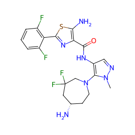 Cn1ncc(NC(=O)c2nc(-c3c(F)cccc3F)sc2N)c1N1CC[C@H](N)CC(F)(F)C1